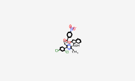 CCc1nc(-c2ccc(Cl)cc2Cl)c(CC)nc1[AsH][C@H]1c2ccccc2C[C@@H]1OC(=O)c1ccc([N+](=O)[O-])cc1